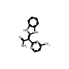 NC(=O)C(=C1Nc2ccccc2N1)c1nccc(C(F)(F)F)n1